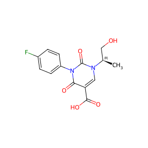 C[C@H](CO)n1cc(C(=O)O)c(=O)n(-c2ccc(F)cc2)c1=O